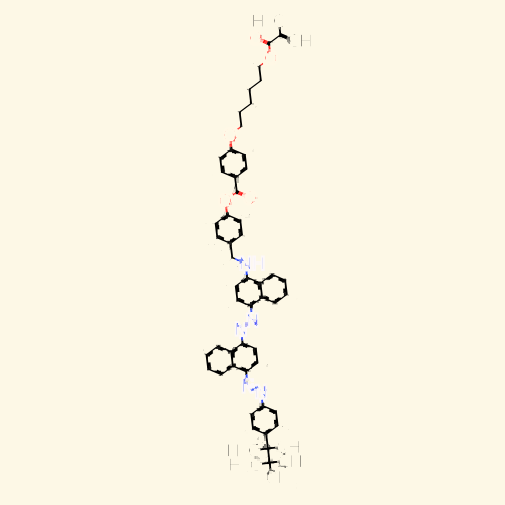 C=C(C)C(=O)OCCCCCCOc1ccc(C(=O)Oc2ccc(CNc3ccc(/N=N/c4ccc(/N=N/c5ccc(C(C)(C)C(C)(C)C)cc5)c5ccccc45)c4ccccc34)cc2)cc1